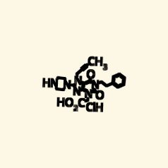 CC#CCn1c(N2CCNCC2)nc2c1c(=O)n(CCc1ccccc1)c(=O)n2CC(=O)O.Cl